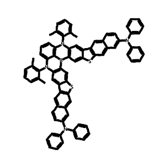 Cc1cccc(C)c1N1c2cc3c(cc2B2c4cc5sc6cc7cc(N(c8ccccc8)c8ccccc8)ccc7cc6c5cc4N(c4c(C)cccc4C)c4cccc1c42)sc1cc2cc(N(c4ccccc4)c4ccccc4)ccc2cc13